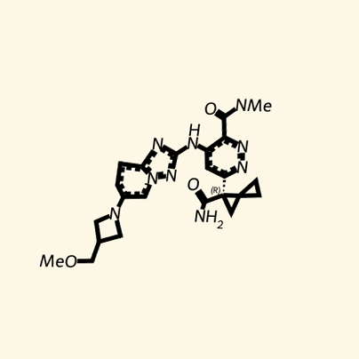 CNC(=O)c1nnc([C@@]2(C(N)=O)CC23CC3)cc1Nc1nc2ccc(N3CC(COC)C3)cn2n1